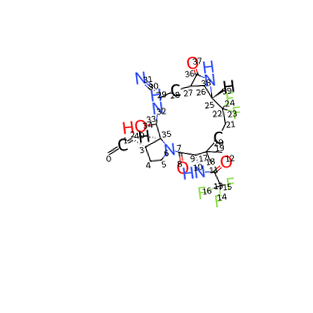 C=C=C[C@H]1CCN2C(=O)[C@@H](NC(=O)C(F)(F)F)C(C)(C)CCC(F)(F)[C@@H]3CC(C[C@@H](C#N)NC(O)[C@H]12)C(=O)N3